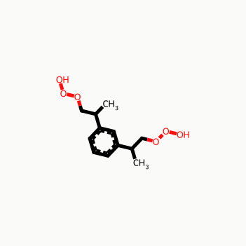 CC(COOO)c1cccc(C(C)COOO)c1